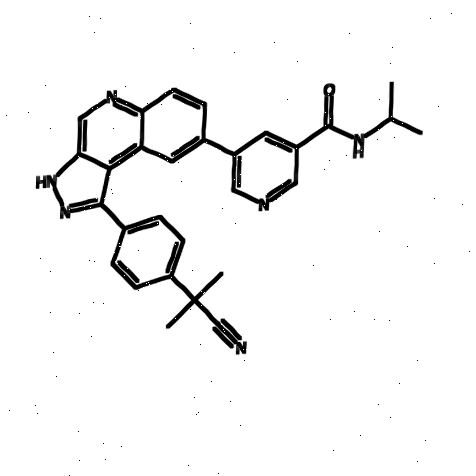 CC(C)NC(=O)c1cncc(-c2ccc3ncc4[nH]nc(-c5ccc(C(C)(C)C#N)cc5)c4c3c2)c1